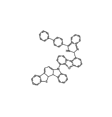 C1=C2c3ccccc3SC2C2C(=C1)N(c1cccc3c1oc1cccc(C4N=c5ccccc5=C(c5ccc(-c6ccccc6)cc5)N4)c13)c1ccccc12